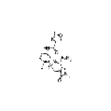 Cc1nc(C(=O)Nc2ccc(F)c([C@]3(C)Cn4c(cn(C)c4=O)C([AsH2])=N3)c2)co1